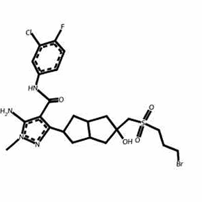 Cn1nc(C2CC3CC(O)(CS(=O)(=O)CCCBr)CC3C2)c(C(=O)Nc2ccc(F)c(Cl)c2)c1N